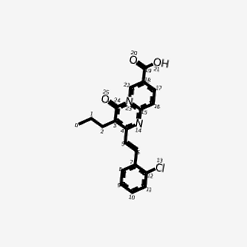 CCCc1c(C=Cc2ccccc2Cl)nc2ccc(C(=O)O)cn2c1=O